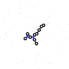 c1ccc(-c2ccc(N(c3ccc4cc(-c5ccc(-c6ccc7ccccc7c6)cc5)ccc4c3)c3ccc4c(c3)c3ccccc3n4-c3ccccc3)cc2)cc1